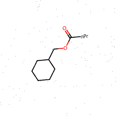 CCCC(=O)O[CH]C1CCCCC1